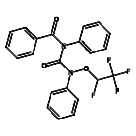 O=C(c1ccccc1)N(C(=O)N(OC(F)C(F)(F)F)c1ccccc1)c1ccccc1